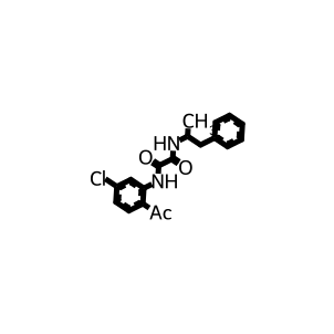 CC(=O)c1ccc(Cl)cc1NC(=O)C(=O)NC(C)Cc1ccccc1